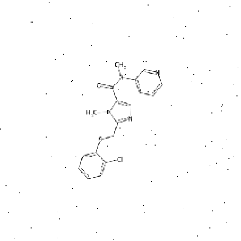 CN(C(=O)c1cnc(CSc2ccccc2Cl)n1C)c1cccnc1